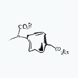 [CH2]N(C(=O)OCC)c1ccc(C(=O)OCC)cc1